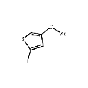 CC(=O)Oc1csc(I)c1